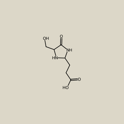 O=C(O)CCC1NC(=O)C(CO)N1